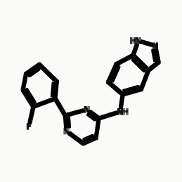 Fc1ccccc1-c1nccc(Nc2ccc3[nH]ncc3c2)n1